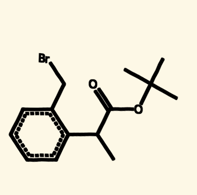 CC(C(=O)OC(C)(C)C)c1ccccc1CBr